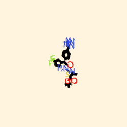 Cc1nc(NC(=O)[C@H](c2ccc(-c3nnn(C)n3)cc2)[C@H]2CCC(F)(F)C2)sc1C(=O)OC(C)(C)C